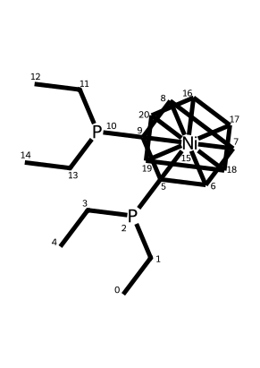 CCP(CC)[C]12[CH]3[CH]4[CH]5[C]1(P(CC)CC)[Ni]43521678[CH]2[CH]1[CH]6[CH]7[CH]28